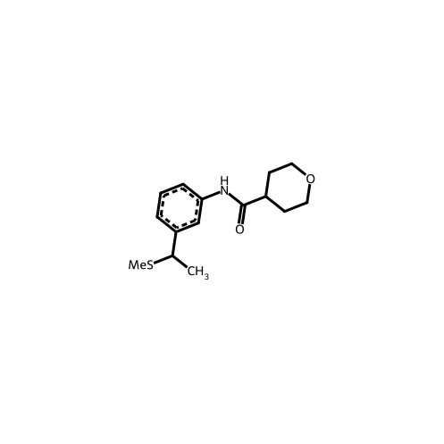 CSC(C)c1cccc(NC(=O)C2CCOCC2)c1